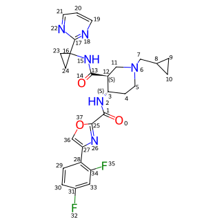 O=C(N[C@H]1CCN(CC2CC2)C[C@@H]1C(=O)NC1(c2ncccn2)CC1)c1nc(-c2ccc(F)cc2F)co1